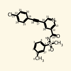 Cc1cccc(S(C)(=O)=NC(=O)c2cncc(C#Cc3ccc(Cl)cc3)c2)c1